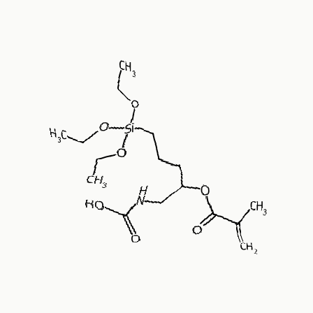 C=C(C)C(=O)OC(CCC[Si](OCC)(OCC)OCC)CNC(=O)O